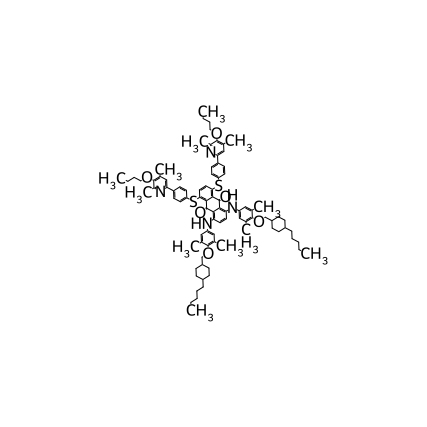 CCCCCC1CCC(COc2c(C)cc(Nc3ccc(Nc4cc(C)c(OCC5CCC(CCCCC)CC5)c(C)c4)c4c3C(=O)c3c(Sc5ccc(-c6cc(C)c(OCCCC)c(C)n6)cc5)ccc(Sc5ccc(-c6cc(C)c(OCCCC)c(C)n6)cc5)c3C4=O)cc2C)CC1